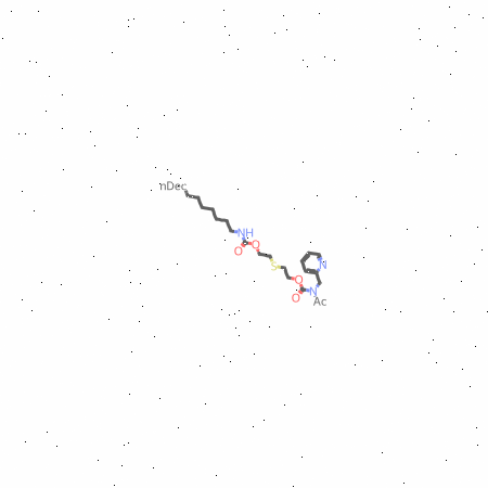 CCCCCCCCCCCCCCCCCNC(=O)OCCSCCOC(=O)N(Cc1ccccn1)C(C)=O